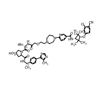 Cc1ncsc1-c1ccc([C@H](C)NC(=O)C2C[C@@H](O)CN2C(=O)[C@@H](NC(=O)COCCN2CCCN(c3ccc(C(=O)N[C@H]4C(C)(C)[C@H](Oc5ccc(C#N)c(Cl)c5)C4(C)C)cn3)CC2)C(C)(C)C)cc1